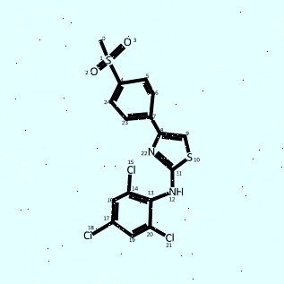 CS(=O)(=O)c1ccc(-c2csc(Nc3c(Cl)cc(Cl)cc3Cl)n2)cc1